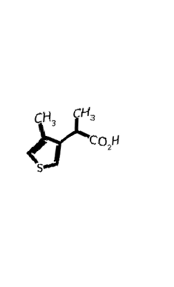 Cc1cscc1C(C)C(=O)O